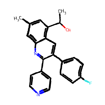 Cc1cc(C(C)O)c2cc(-c3ccc(F)cc3)c(-c3ccncc3)nc2c1